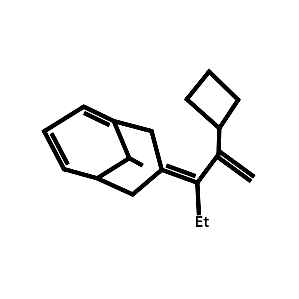 C=C(/C(CC)=C1\CC2=CC=CC(C1)C2C)C1CCC1